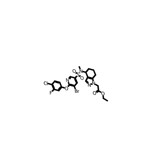 CCOC(=O)Cn1ncc2c1CCCC2N(C)S(=O)(=O)c1cnc(Oc2ccc(Cl)c(F)c2)c(Br)c1